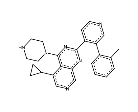 Cc1ccccc1-c1cnccc1-c1nc(N2CCNCC2)c2c(C3CC3)cncc2n1